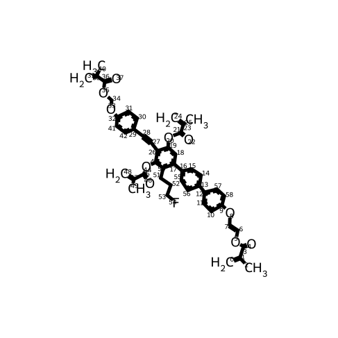 C=C(C)C(=O)O/C=C/Oc1ccc(-c2ccc(-c3cc(OC(=O)C(=C)C)c(C#Cc4ccc(OCOC(=O)C(=C)C)cc4)c(OC(=O)C(=C)C)c3CCCF)cc2)cc1